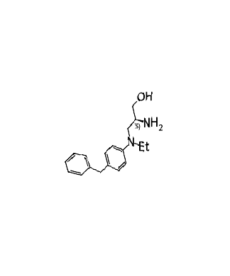 CCN(C[C@H](N)CO)c1ccc(Cc2ccccc2)cc1